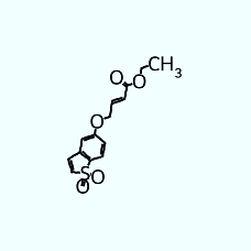 CCOC(=O)C=CCOc1ccc2c(c1)C=CS2(=O)=O